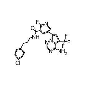 Nc1ncnn2c(-c3cnc(F)c(C(=O)NCCCc4ccc(Cl)cc4)c3)cc(C(F)(F)F)c12